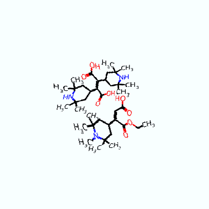 CC1(C)CC(/C(C(=O)O)=C(\C(=O)O)C2CC(C)(C)NC(C)(C)C2)CC(C)(C)N1.CCOC(=O)/C(=C\C(=O)O)C1CC(C)(C)N(C)C(C)(C)C1